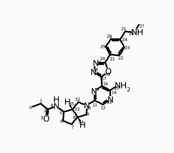 CCC(=O)NC1CC[C@H]2CN(c3cnc(N)c(-c4nnc(-c5ccc(CNC)cc5)o4)n3)C[C@@H]12